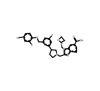 O=C(O)c1ccc2nc(CN3CCC(c4cc(F)cc(COc5ccc(Cl)cc5F)c4)C3)n(C[C@@H]3CCO3)c2c1